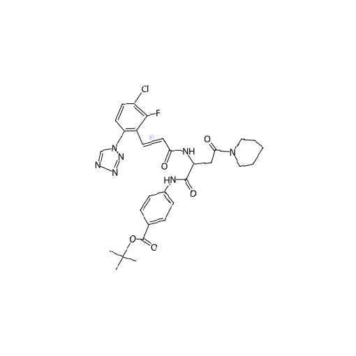 CC(C)(C)OC(=O)c1ccc(NC(=O)C(CC(=O)N2CCCCC2)NC(=O)/C=C/c2c(-n3cnnn3)ccc(Cl)c2F)cc1